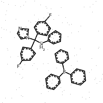 Fc1ccc(C([SiH2]c2ccccc2)(c2ccc(F)cc2)n2ccnc2)cc1.c1ccc(B(c2ccccc2)c2ccccc2)cc1